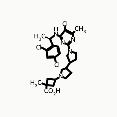 Cc1nc(N2CCC(C3CCN(C4CC(C)(C(=O)O)C4)C3)C2)nc(N[C@H](C)c2ccc(Cl)cc2Cl)c1Cl